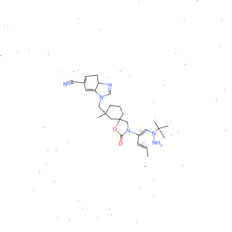 C/C=C/C(=C\N(N)C(C)(C)C)N1CC2(CCCC(C)(CN3C=NC4CC=C(C#N)C=C43)C2)OC1=O